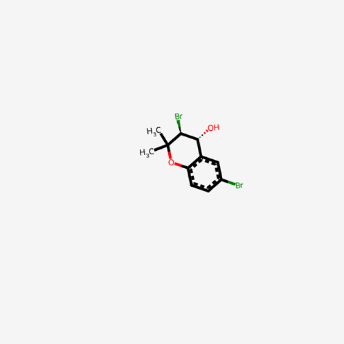 CC1(C)Oc2ccc(Br)cc2[C@@H](O)[C@@H]1Br